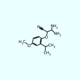 COc1ccc(OC(C#N)C(N)N)c(C(C)C)c1